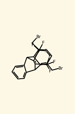 FC(F)(F)C1=C(C(F)(F)F)C2c3ccccc3C1c1c(CBr)ccc(CBr)c12